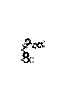 CC1(C)CCNc2cc(Nc3nc4c(N5CC[C@]6(CNC(=O)C6)C5)nccn4n3)ccc21